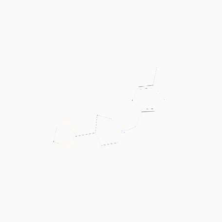 Cc1ccc(CN2CCC(C3OCCO3)CC2)cc1